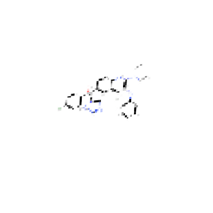 CCN(CC)c1nc2ccc(C(O)(c3ccc(Cl)cc3)c3cncn3C)cc2c(Cl)c1Nc1ccccc1